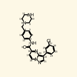 O=C(Nc1ccc(CN2CCNCC2)cc1)c1ccn2ncc(-c3cccc(Cl)c3)c2n1